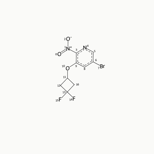 O=[N+]([O-])c1ncc(Br)cc1OC1CC(F)(F)C1